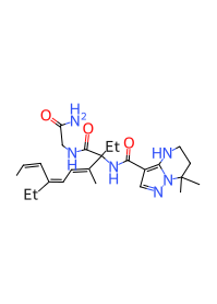 C\C=C/C(=C\C=C(/C)C(CC)(NC(=O)c1cnn2c1NCCC2(C)C)C(=O)NCC(N)=O)CC